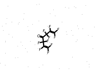 O=C(C(F)(F)C(F)=C(F)F)C(F)(F)C(F)=C(F)F